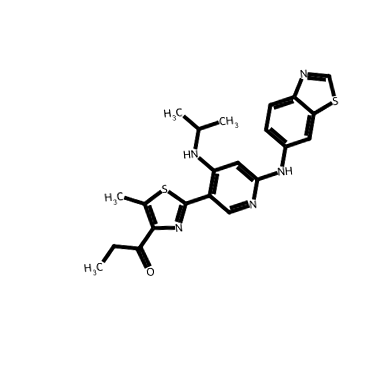 CCC(=O)c1nc(-c2cnc(Nc3ccc4ncsc4c3)cc2NC(C)C)sc1C